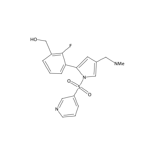 CNCc1cc(-c2cccc(CO)c2F)n(S(=O)(=O)c2cccnc2)c1